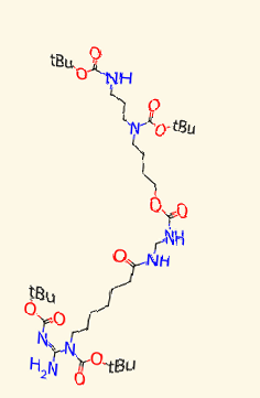 CC(C)(C)OC(=O)N=C(N)N(CCCCCCC(=O)NCNC(=O)OCCCCN(CCCNC(=O)OC(C)(C)C)C(=O)OC(C)(C)C)C(=O)OC(C)(C)C